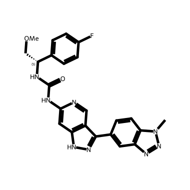 COC[C@@H](NC(=O)Nc1cc2[nH]nc(-c3ccc4c(c3)nnn4C)c2cn1)c1ccc(F)cc1